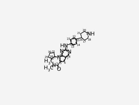 CN(C)C(=O)c1cc2cnc(Nc3ccc(C4CCNCC4)cc3)nc2n1C1CCCC1